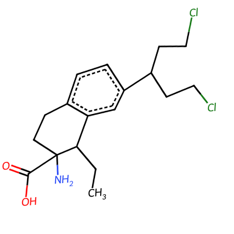 CCC1c2cc(C(CCCl)CCCl)ccc2CCC1(N)C(=O)O